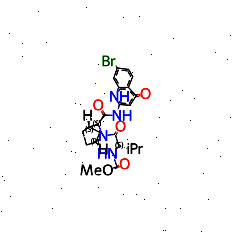 COC(=O)N[C@H](C(=O)N1[C@@H]2CC[C@@H](C2)[C@H]1C(=O)Nc1cc(=O)c2ccc(Br)cc2[nH]1)C(C)C